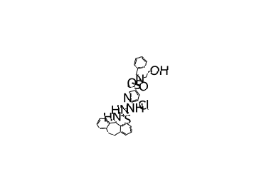 O=S(=O)(c1cnc(NNC(=S)NC2c3ccccc3CCc3ccccc32)c(Cl)c1)N(CCO)Cc1ccccc1